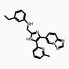 CCc1cccc(NCc2nc(-c3ccc4ncnn4c3)c(-c3cccc(C)n3)[nH]2)c1